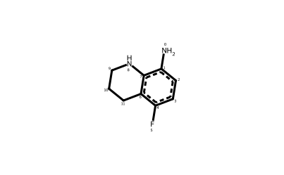 Nc1ccc(F)c2c1NCCC2